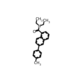 CCN(CC)C(=O)c1cccc2cc(-c3ccc(C)cc3)ccc12